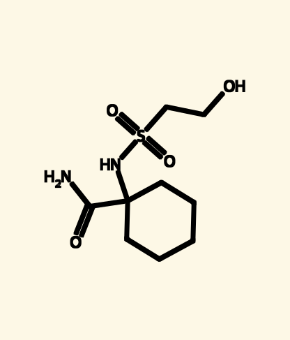 NC(=O)C1(NS(=O)(=O)CCO)CCCCC1